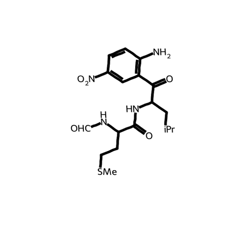 CSCCC(NC=O)C(=O)NC(CC(C)C)C(=O)c1cc([N+](=O)[O-])ccc1N